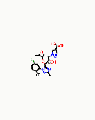 Cc1nc(C(OC2COC2C)[C@@H](O)Cn2cc(B(O)O)cn2)n(-c2cc(Cl)ccc2C(F)(F)F)n1